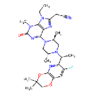 CCn1c(CC#N)nc2c(N3C[C@@H](C)N(C(C)c4nc5c(cc4F)OCC(C)(C)O5)C[C@@H]3C)nc(=O)n(C)c21